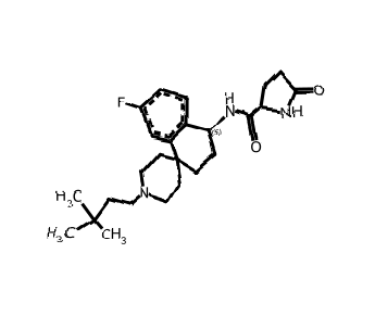 CC(C)(C)CCN1CCC2(CC[C@H](NC(=O)C3CCC(=O)N3)c3ccc(F)cc32)CC1